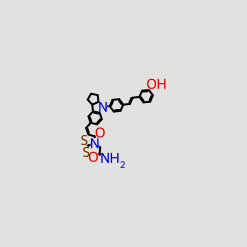 NC(=O)CN1C(=O)/C(=C\c2ccc3c(c2)C2CCCC2N3c2ccc(/C=C/c3cccc(O)c3)cc2)SC1=S